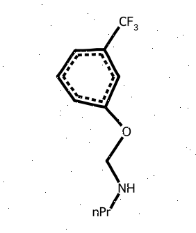 CCCNCOc1cccc(C(F)(F)F)c1